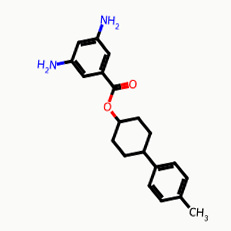 Cc1ccc(C2CCC(OC(=O)c3cc(N)cc(N)c3)CC2)cc1